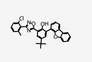 Cc1cccc(Cl)c1-c1noc(-c2cc(C(C)(C)C)cc(-c3cccc4c3oc3ccccc34)c2O)n1